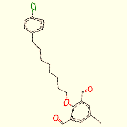 Cc1cc(C=O)c(OCCCCCCCCc2ccc(Cl)cc2)c(C=O)c1